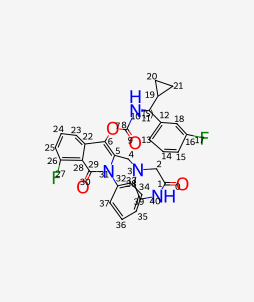 O=C1CN(Cc2c(OC(=O)N[C@H](c3cccc(F)c3)C3CC3)c3cccc(F)c3c(=O)n2-c2ccccc2)CCN1